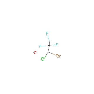 FC(F)(F)C(Cl)Br.[O]